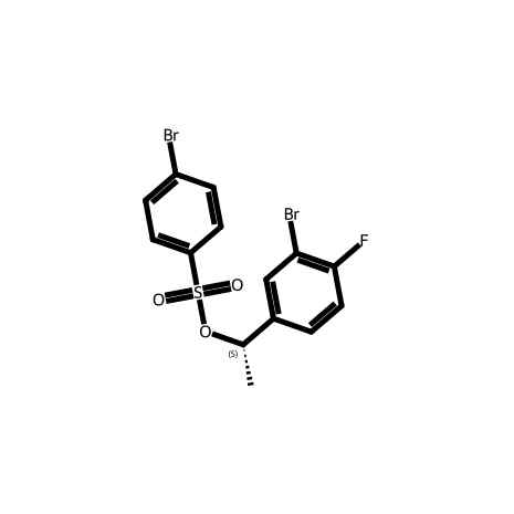 C[C@H](OS(=O)(=O)c1ccc(Br)cc1)c1ccc(F)c(Br)c1